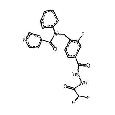 O=C(NNC(=O)C(F)F)c1ccc(CN(C(=O)c2ccncc2)c2ccccc2)c(F)c1